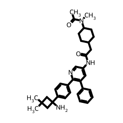 CC(=O)N(C)C1CCC(CC(=O)Nc2cnc(-c3ccc(C4(N)CC(C)(C)C4)cc3)c(-c3ccccc3)c2)CC1